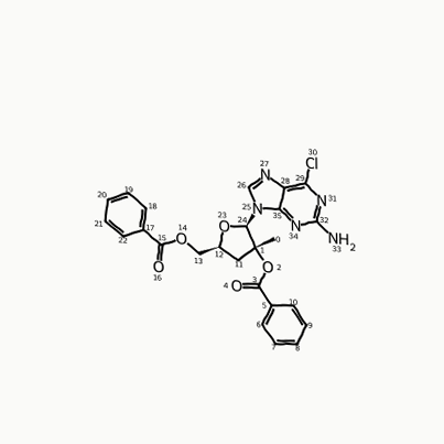 C[C@@]1(OC(=O)c2ccccc2)C[C@@H](COC(=O)c2ccccc2)O[C@H]1n1cnc2c(Cl)nc(N)nc21